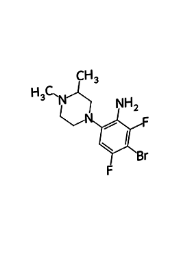 CC1CN(c2cc(F)c(Br)c(F)c2N)CCN1C